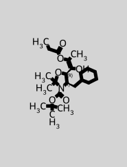 CCC(=O)OC(C)=C(O)[C@@H]1OC(C)(C)N(C(=O)OC(C)(C)C)[C@@H]1CC1CCCCC1